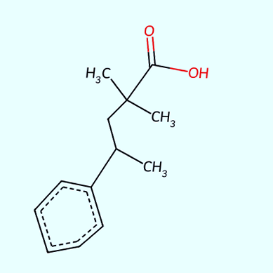 CC(CC(C)(C)C(=O)O)c1ccccc1